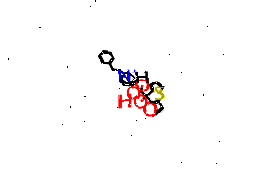 O=C(O[C@H]1C[N+]2(CCc3ccccc3)CCC1CC2)C(O)(c1ccco1)c1cccs1